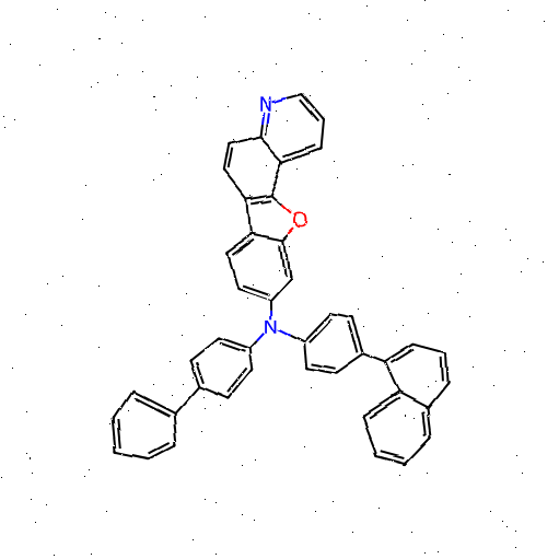 c1ccc(-c2ccc(N(c3ccc(-c4cccc5ccccc45)cc3)c3ccc4c(c3)oc3c5cccnc5ccc43)cc2)cc1